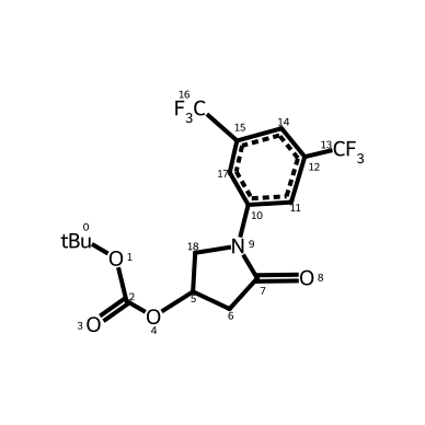 CC(C)(C)OC(=O)OC1CC(=O)N(c2cc(C(F)(F)F)cc(C(F)(F)F)c2)C1